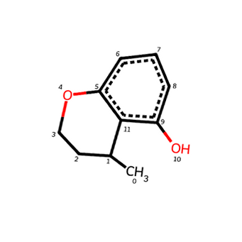 CC1CCOc2cccc(O)c21